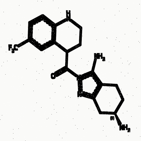 Nc1c2c(nn1C(=O)C1CCNc3ccc(C(F)(F)F)cc31)C[C@H](N)CC2